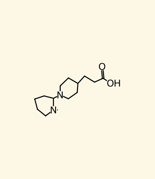 O=C(O)CCC1CCN(C2CCCC[N]2)CC1